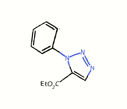 CCOC(=O)c1cnnn1-c1[c]cccc1